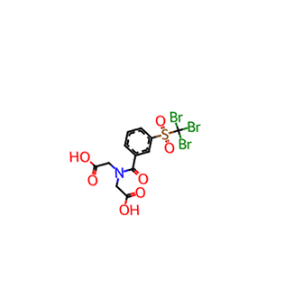 O=C(O)CN(CC(=O)O)C(=O)c1cccc(S(=O)(=O)C(Br)(Br)Br)c1